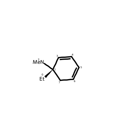 CC[C@@]1(NC)C=CC=CC1